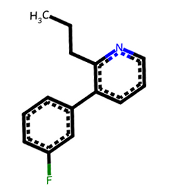 CCCc1ncccc1-c1cccc(F)c1